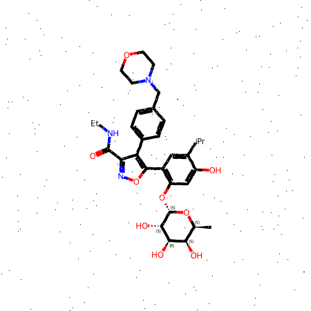 CCNC(=O)c1noc(-c2cc(C(C)C)c(O)cc2O[C@@H]2O[C@@H](C)[C@@H](O)[C@@H](O)[C@@H]2O)c1-c1ccc(CN2CCOCC2)cc1